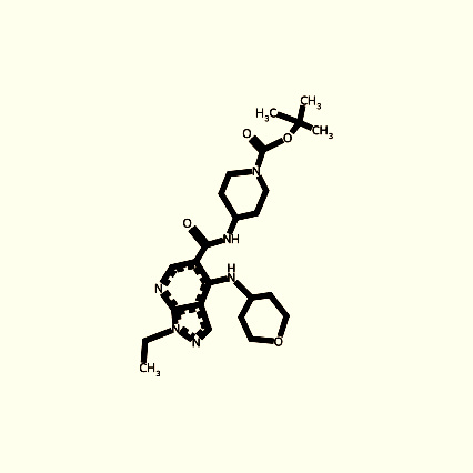 CCn1ncc2c(NC3CCOCC3)c(C(=O)NC3CCN(C(=O)OC(C)(C)C)CC3)cnc21